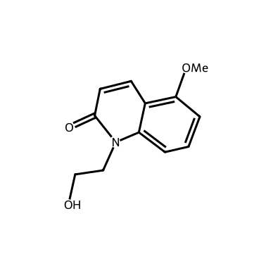 COc1cccc2c1ccc(=O)n2CCO